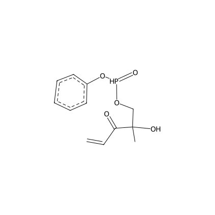 C=CC(=O)C(C)(O)CO[PH](=O)Oc1ccccc1